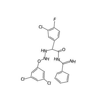 N=C(NC(=O)C(NNOc1cc(Cl)cc(Cl)c1)c1ccc(F)c(Cl)c1)c1ccccc1